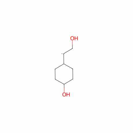 OC[CH]C1CCC(O)CC1